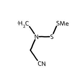 [CH2]N(CC#N)SSC